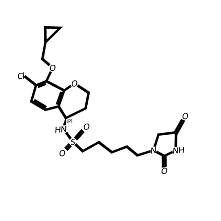 O=C1CN(CCCCCS(=O)(=O)N[C@@H]2CCOc3c2ccc(Cl)c3OCC2CC2)C(=O)N1